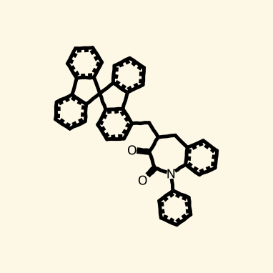 O=C1C(=O)N(c2ccccc2)c2ccccc2CC1Cc1cccc2c1-c1ccccc1C21c2ccccc2-c2ccccc21